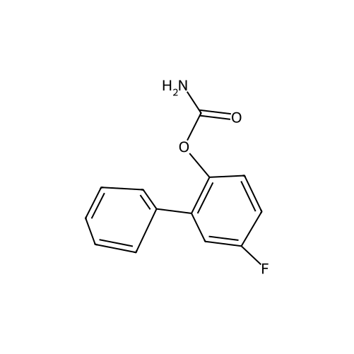 NC(=O)Oc1ccc(F)cc1-c1ccccc1